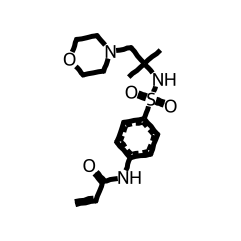 C=CC(=O)Nc1ccc(S(=O)(=O)NC(C)(C)CN2CCOCC2)cc1